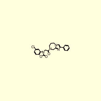 O=C(Cn1c(=O)oc2ccc(Cl)cc21)N1CCCn2cc(-c3ccccc3)nc2C1